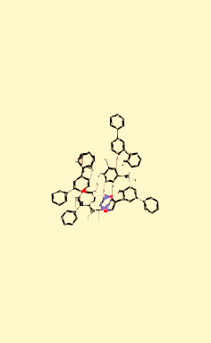 CCc1c(-n2c3ccccc3c3cc(-c4ccccc4)ccc32)c(C#N)c(-n2c3ccccc3c3cc(-c4ccccc4)ccc32)c(N2C3=CC=C(c4ccccc4)C(C3)[C@H](C)/C=C\C=C\2C)c1-n1c2ccccc2c2cc(-c3ccccc3)ccc21